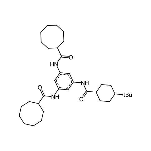 CC(C)(C)[C@H]1CC[C@@H](C(=O)Nc2cc(NC(=O)C3CCCCCCC3)cc(NC(=O)C3CCCCCCC3)c2)CC1